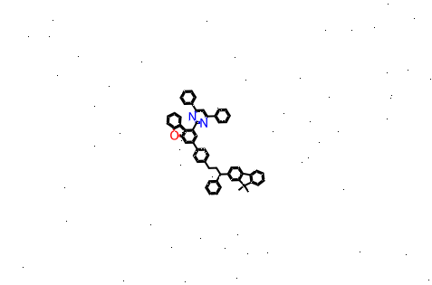 CC1(C)c2ccccc2-c2ccc(C(CCc3ccc(-c4cc(-c5nc(-c6ccccc6)cc(-c6ccccc6)n5)c5c(c4)oc4ccccc45)cc3)c3ccccc3)cc21